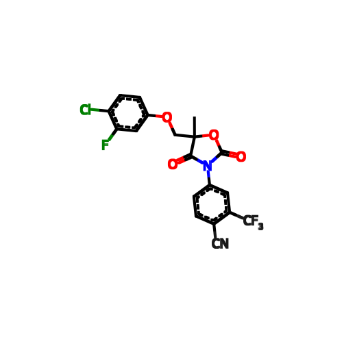 CC1(COc2ccc(Cl)c(F)c2)OC(=O)N(c2ccc(C#N)c(C(F)(F)F)c2)C1=O